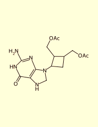 CC(=O)OCC1CC(N2CNc3c2nc(N)[nH]c3=O)C1COC(C)=O